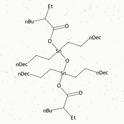 CCCCCCCCCCC[CH2][Sn]([CH2]CCCCCCCCCCC)([O]C(=O)C(CC)CCCC)[O][Sn]([CH2]CCCCCCCCCCC)([CH2]CCCCCCCCCCC)[O]C(=O)C(CC)CCCC